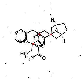 NC(=O)c1cccc([C@H]2C[C@H]3CC[C@@H](C2)N3CCN(Cc2ccccc2)C(=O)[C@H](O)CO)c1